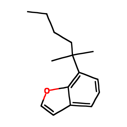 CCCCC(C)(C)c1cccc2ccoc12